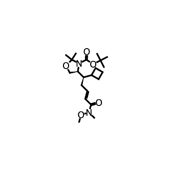 CON(C)C(=O)C=CC[C@H](C1CCC1)[C@H]1COC(C)(C)N1C(=O)OC(C)(C)C